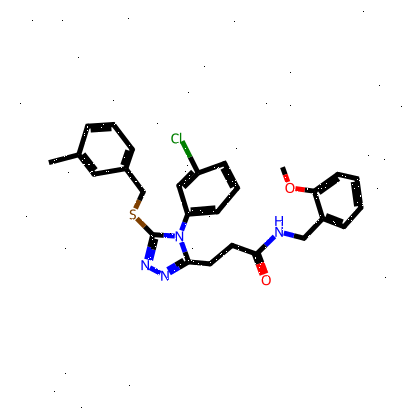 COc1ccccc1CNC(=O)CCc1nnc(SCc2cccc(C)c2)n1-c1cccc(Cl)c1